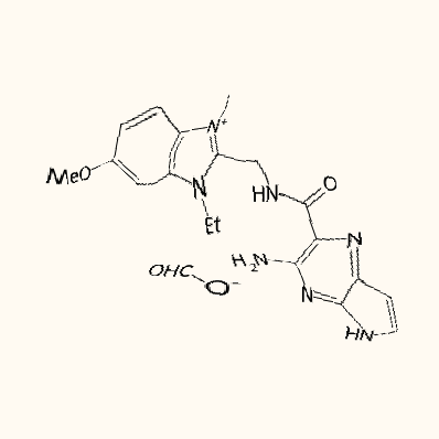 CCn1c(CNC(=O)c2nc3cc[nH]c3nc2N)[n+](C)c2ccc(OC)cc21.O=C[O-]